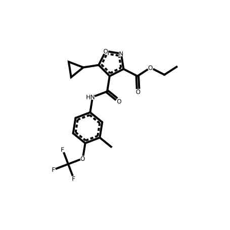 CCOC(=O)c1noc(C2CC2)c1C(=O)Nc1ccc(OC(F)(F)F)c(C)c1